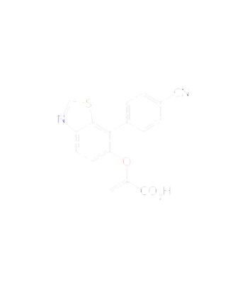 C=C(Oc1ccc2ncsc2c1-c1ccc(C#N)cc1)C(=O)O